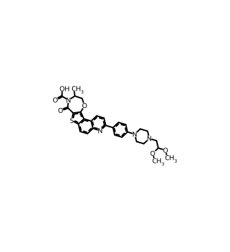 COC(CN1CCN(c2ccc(-c3ccc4c(ccc5sc6c(c54)OCC(C)N(C(=O)O)C6=O)n3)cc2)CC1)OC